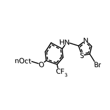 CCCCCCCCOc1ccc(Nc2ncc(Br)s2)cc1C(F)(F)F